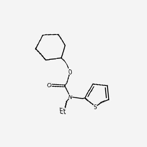 CCN(C(=O)OC1CCCCC1)c1cccs1